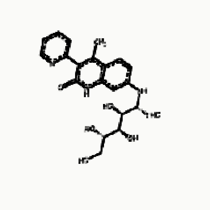 Cc1c(-c2ccccn2)c(=O)[nH]c2cc(N[C@H](C=O)[C@H](O)[C@@H](O)[C@@H](O)CO)ccc12